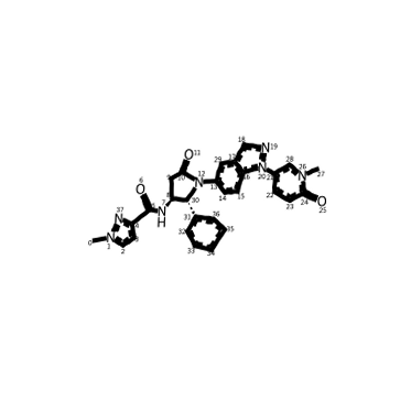 Cn1ccc(C(=O)N[C@H]2CC(=O)N(c3ccc4c(cnn4-c4ccc(=O)n(C)c4)c3)[C@@H]2c2ccccc2)n1